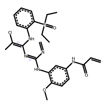 C=CC(=O)Nc1ccc(OC)c(N/C(N=C)=N/C(Nc2ccccc2P(=O)(CC)CC)=C(\C)Cl)c1